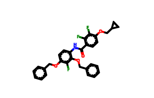 O=C(Nc1ccc(OCc2ccccc2)c(F)c1OCc1ccccc1)c1ccc(OCC2CC2)c(F)c1F